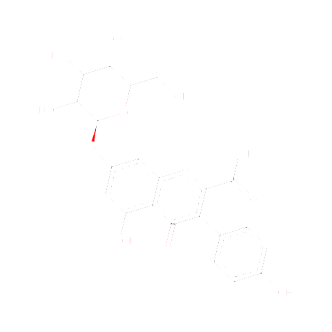 CC(=O)c1oc2cc(O[C@@H]3OC(CO)[C@@H](O)C(O)C3O)cc(O)c2c(=O)c1-c1ccc(O)cc1